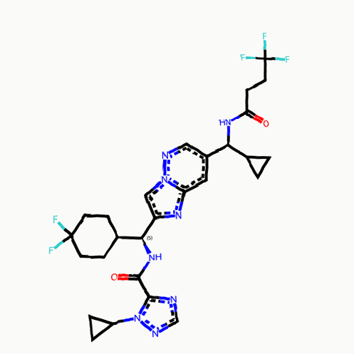 O=C(CCC(F)(F)F)NC(c1cnn2cc([C@@H](NC(=O)c3ncnn3C3CC3)C3CCC(F)(F)CC3)nc2c1)C1CC1